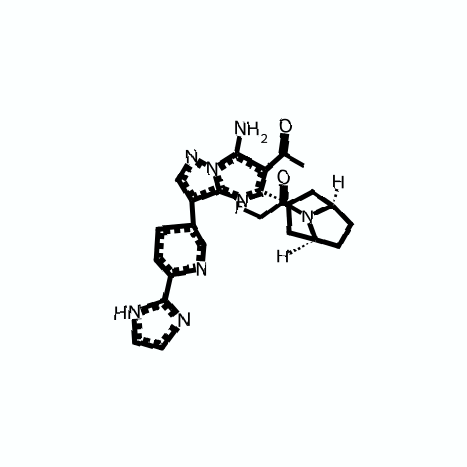 CC(=O)c1c([C@@H]2C[C@H]3CC[C@@H](C2)N3C(=O)CF)nc2c(-c3ccc(-c4ncc[nH]4)nc3)cnn2c1N